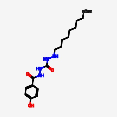 CCCCCCCCCCCCCCCCCCNNC(=O)NNC(=O)c1ccc(O)cc1